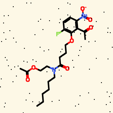 CCCCCCN(CCOC(C)=O)C(=O)CCCOc1c(F)ccc([N+](=O)[O-])c1C(C)=O